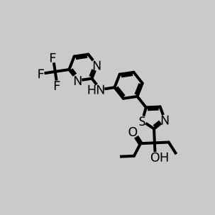 CCC(=O)C(O)(CC)c1ncc(-c2cccc(Nc3nccc(C(F)(F)F)n3)c2)s1